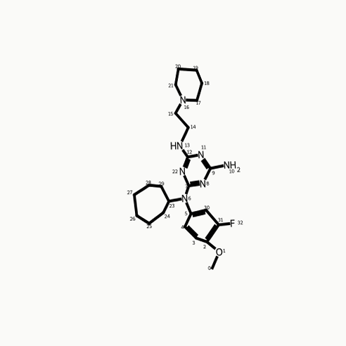 COc1ccc(N(c2nc(N)nc(NCCN3CCCCC3)n2)C2CCCCCC2)cc1F